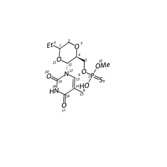 CCC1CO[C@@H](COP(O)(=S)OC)[C@H](n2cc(C)c(=O)[nH]c2=O)O1